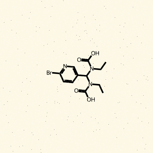 CCN(C(=O)O)C(c1ccc(Br)nc1)N(CC)C(=O)O